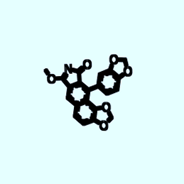 COC1=NC(=O)c2c1cc1ccc3c(c1c2-c1ccc2c(c1)OCO2)OCO3